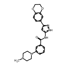 CN1CCN(c2cccc(C(=O)Nc3cc(-c4ccc5c(c4)OCCO5)n[nH]3)c2)CC1